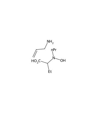 C=CCN.CCCN(O)C(CC)C(=O)O